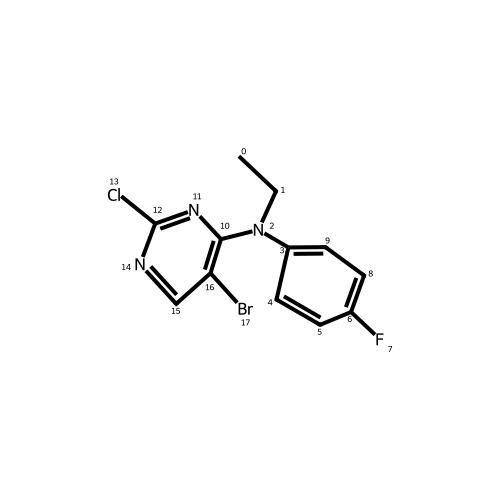 CCN(c1ccc(F)cc1)c1nc(Cl)ncc1Br